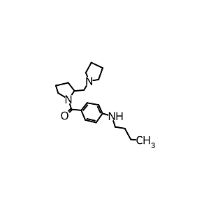 CCCCNc1ccc(C(=O)N2CCCC2CN2CCCC2)cc1